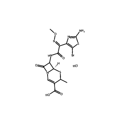 CON=C(C(=O)NC1C(=O)N2C=C(C(=O)O)C(C)S[C@H]12)c1nc(N)sc1Br.Cl